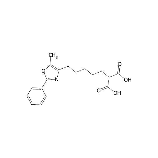 Cc1oc(-c2ccccc2)nc1CCCCCC(C(=O)O)C(=O)O